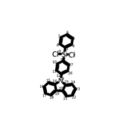 Cl[Si](Cl)(c1ccccc1)c1ccc(-n2c3ccccc3c3ccccc32)cc1